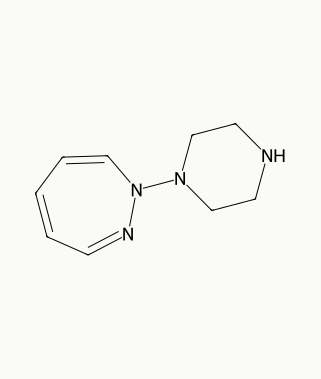 C1=CC=NN(N2CCNCC2)C=C1